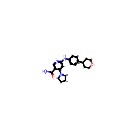 NC(=O)c1cnc(Nc2ccc(C3CCOCC3)cc2)cc1N1CCCC1